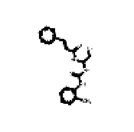 Cc1ccccc1NC(=S)NC(CC(C)(C)C)NC(=O)C=Cc1ccccc1